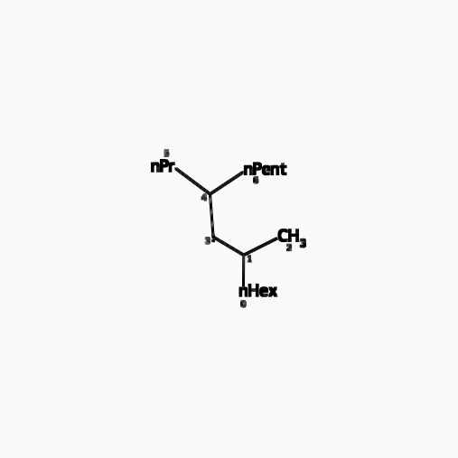 CCCCCCC(C)[CH]C(CCC)CCCCC